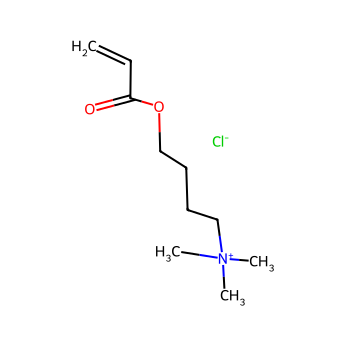 C=CC(=O)OCCCC[N+](C)(C)C.[Cl-]